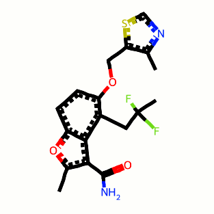 Cc1ncsc1COc1ccc2oc(C)c(C(N)=O)c2c1CC(C)(F)F